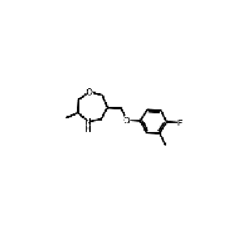 Cc1cc(OCC2CNC(C)COC2)ccc1F